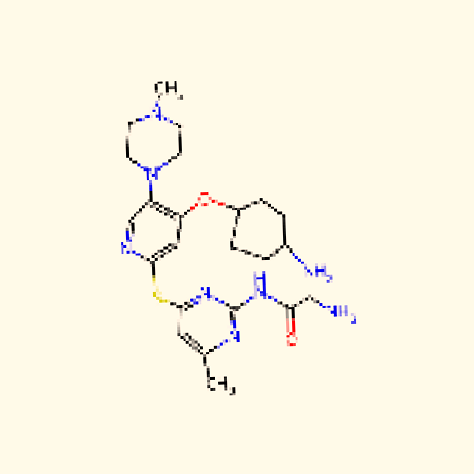 Cc1cc(Sc2cc(OC3CCC(N)CC3)c(N3CCN(C)CC3)cn2)nc(NC(=O)CN)n1